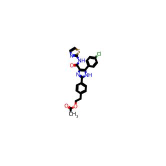 CC(=O)OCCc1ccc(-c2nc(C(=O)Nc3nccs3)c(-c3ccc(Cl)cc3)[nH]2)cc1